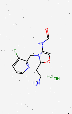 Cl.Cl.NCCC1OC=C(NC=O)N1Cc1ncccc1F